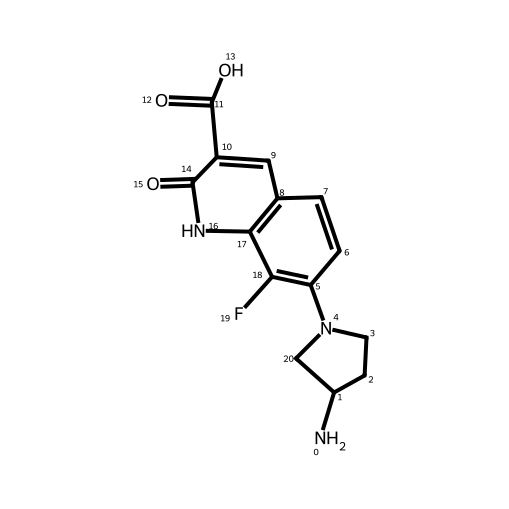 NC1CCN(c2ccc3cc(C(=O)O)c(=O)[nH]c3c2F)C1